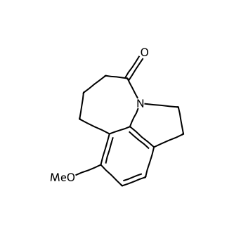 COc1ccc2c3c1CCCC(=O)N3CC2